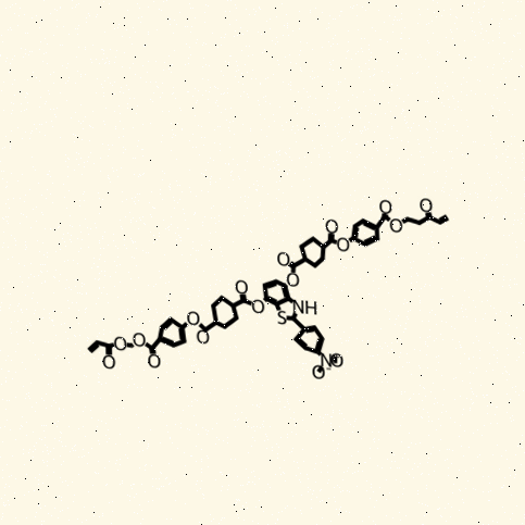 C=CC(=O)CCOC(=O)c1ccc(OC(=O)C2CCC(C(=O)Oc3ccc(OC(=O)C4CCC(C(=O)Oc5ccc(C(=O)OCOC(=O)C=C)cc5)CC4)c4c3NC(c3ccc([N+](=O)[O-])cc3)S4)CC2)cc1